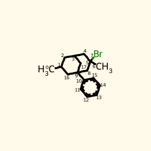 CC1CC2CC(C)(Br)CC(c3ccccc3)(C1)C2